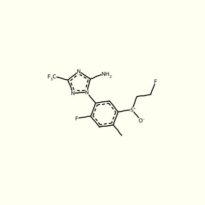 Cc1cc(F)c(-n2nc(C(F)(F)F)nc2N)cc1[S+]([O-])CCF